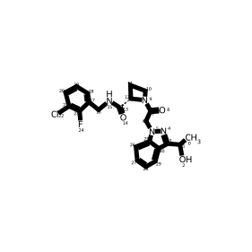 CC(O)c1nn(CC(=O)N2CC[C@H]2C(=O)NCc2cccc(Cl)c2F)c2ccccc12